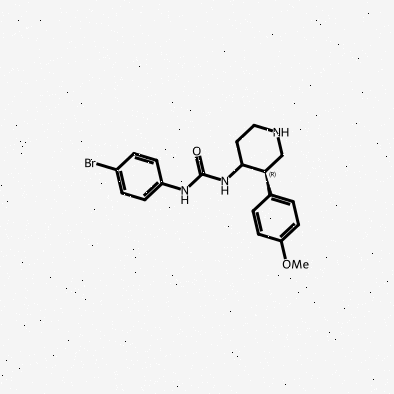 COc1ccc([C@@H]2CNCCC2NC(=O)Nc2ccc(Br)cc2)cc1